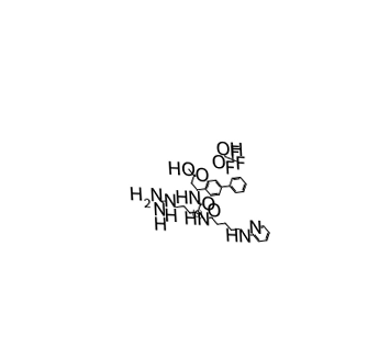 N=C(N)NCCC[C@H](NC(=O)CCCCNc1ccccn1)C(=O)NC(CC(=O)O)c1ccc(-c2ccccc2)cc1.O=C(O)C(F)(F)F